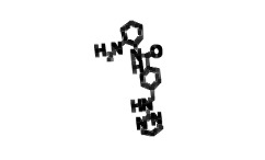 Nc1ccccc1NC(=O)c1ccc(CNc2ncccn2)cc1